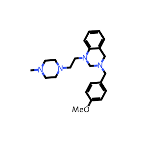 COc1ccc(CN2Cc3ccccc3N(CCN3CCN(C)CC3)C2)cc1